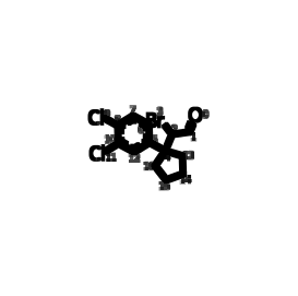 O=CC(Br)C1(c2ccc(Cl)c(Cl)c2)CCCC1